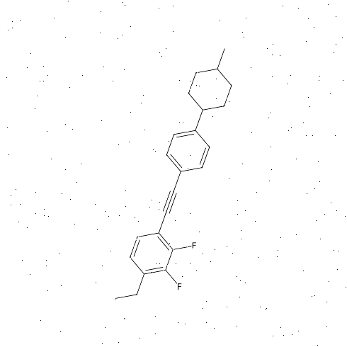 CCc1ccc(C#Cc2ccc(C3CCC(C)CC3)cc2)c(F)c1F